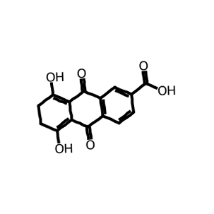 O=C(O)c1ccc2c(c1)C(=O)C1=C(O)CCC(O)=C1C2=O